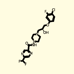 O=C(NN1CCN(C[C@@H](O)COc2ccc(Cl)c(F)c2)CC1)c1cnc(C(F)F)cn1